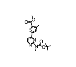 COC(=O)c1sc(-c2ccnc(N(C)C(=O)OC(C)(C)C)n2)cc1C